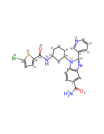 NC(=O)c1ccc2c(c1)nc(-c1cccnc1)n2C1CCCC(NC(=O)c2ccc(Br)s2)C1